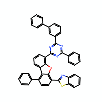 c1ccc(-c2cccc(-c3nc(-c4ccccc4)nc(-c4cccc5c4oc4c(-c6nc7ccccc7s6)ccc(-c6ccccc6)c45)n3)c2)cc1